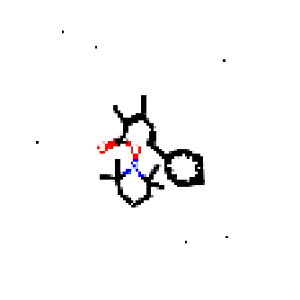 CC(C=Cc1ccccc1)=C(C)C(=O)ON1C(C)(C)CCCC1(C)C